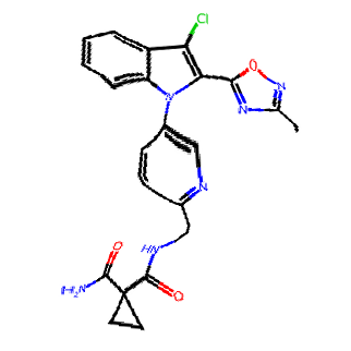 Cc1noc(-c2c(Cl)c3ccccc3n2-c2ccc(CNC(=O)C3(C(N)=O)CC3)nc2)n1